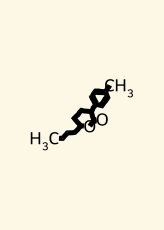 CCCCC1CCC(c2ccc(C)cc2)C(=O)O1